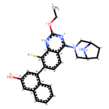 CCOc1nc(N2CC3CCC(C2)N3)c2ccc(-c3cc(O)cc4ccccc34)c(F)c2n1